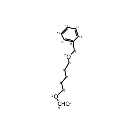 O=[C]OCCCCCOCc1ccccc1